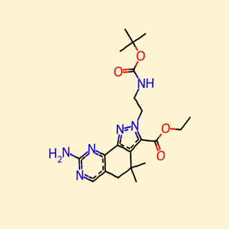 CCOC(=O)c1c2c(nn1CCNC(=O)OC(C)(C)C)-c1nc(N)ncc1CC2(C)C